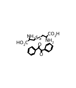 NC(CSSCC(N)C(=O)O)C(=O)O.O=C(C(=O)c1ccccc1)c1ccccc1